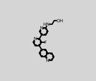 OCCNc1ccc(-c2nccc(-c3ccc4ncccc4c3)c2F)cn1